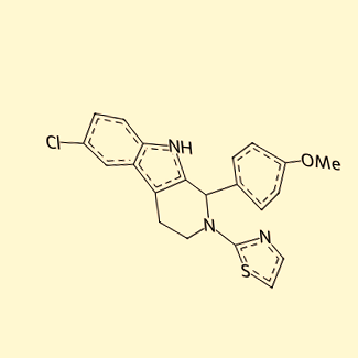 COc1ccc(C2c3[nH]c4ccc(Cl)cc4c3CCN2c2nccs2)cc1